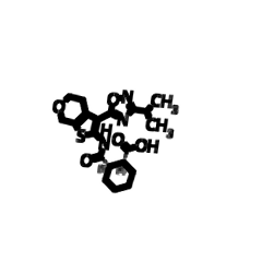 CC(C)c1noc(-c2c(NC(=O)[C@H]3CCCC[C@H]3C(=O)O)sc3c2CCOC3)n1